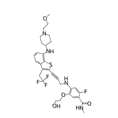 CNC(=O)c1cc(OCCO)c(NCC#Cc2sc3c(NC4CCN(CCOC)CC4)cccc3c2CC(F)(F)F)cc1F